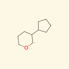 [CH]1OCCCC1C1CCCC1